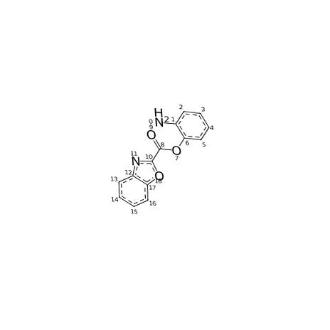 Nc1ccccc1OC(=O)c1nc2ccccc2o1